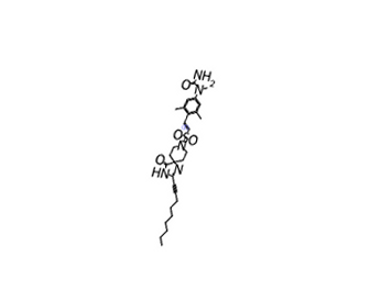 CCCCCCCC#CC1=NC2(CCN(S(=O)(=O)/C=C/c3c(C)cc(N(C)C(N)=O)cc3C)CC2)C(=O)N1